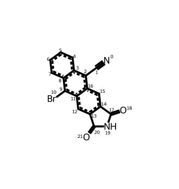 N#Cc1c2ccccc2c(Br)c2cc3c(cc12)C(=O)NC3=O